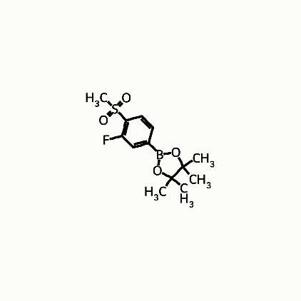 CC1(C)OB(c2ccc(S(C)(=O)=O)c(F)c2)OC1(C)C